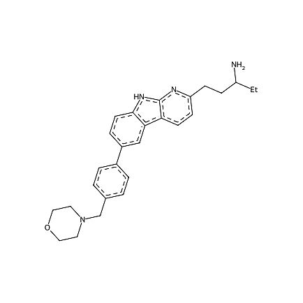 CCC(N)CCc1ccc2c(n1)[nH]c1ccc(-c3ccc(CN4CCOCC4)cc3)cc12